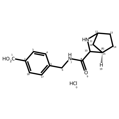 Cl.O=C(O)c1ccc(CNC(=O)C2NC3CC[C@@H]2C3)cc1